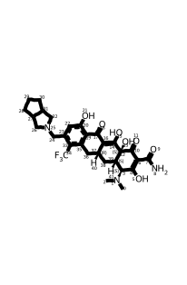 CN(C)[C@@H]1C(O)=C(C(N)=O)C(=O)[C@@]2(O)C(O)=C3C(=O)c4c(O)cc(CN5CC6CCCC6C5)c(C(F)(F)F)c4C[C@H]3C[C@@H]12